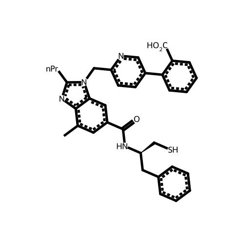 CCCc1nc2c(C)cc(C(=O)N[C@@H](CS)Cc3ccccc3)cc2n1Cc1ccc(-c2ccccc2C(=O)O)cn1